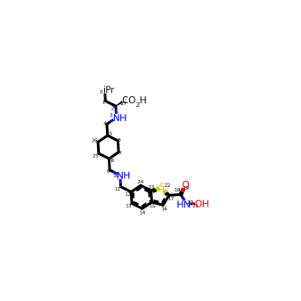 CC(C)C[C@H](NCC1CCC(CNCc2ccc3cc(C(=O)NO)sc3c2)CC1)C(=O)O